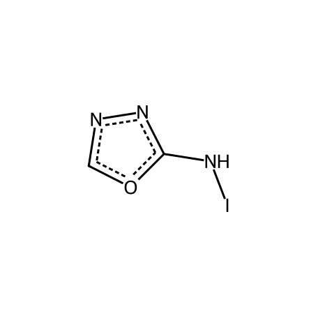 INc1nnco1